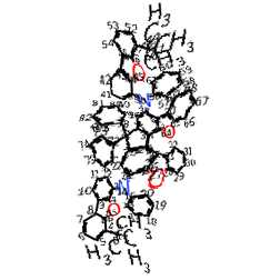 CC(C)(C)C1=CC=CC2c3cccc(N(c4ccccc4)c4cc5c(c6c4oc4ccccc46)-c4c(cc(N(C6=CCCc7c6oc6c(C(C)(C)C)cccc76)c6ccccc6)c6c4oc4ccccc46)C5(c4ccccc4)c4ccccc4)c3OC12